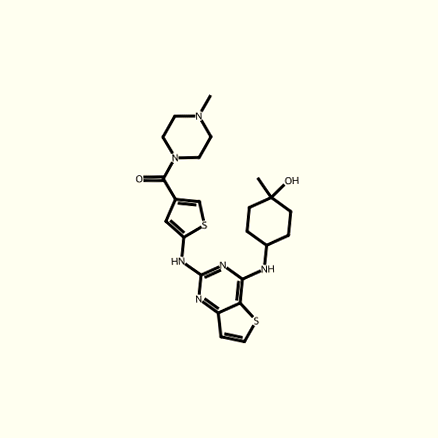 CN1CCN(C(=O)c2csc(Nc3nc(NC4CCC(C)(O)CC4)c4sccc4n3)c2)CC1